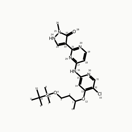 CC(CCO[Si](C)(C)C(C)(C)C)Oc1cc(Nc2ccnc(-c3c[nH]n(C)c3=O)n2)ncc1Cl